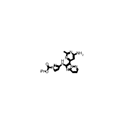 Cc1nc(N)cc(-c2c(Nc3ccn(C(=O)OC(C)C)n3)nc3cccnn23)n1